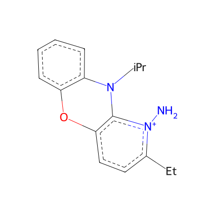 CCc1ccc2c([n+]1N)N(C(C)C)c1ccccc1O2